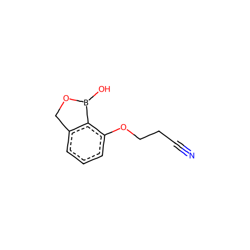 N#CCCOc1cccc2c1B(O)OC2